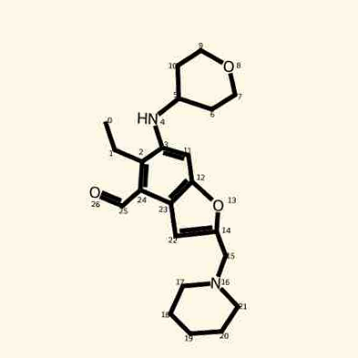 CCc1c(NC2CCOCC2)cc2oc(CN3CCCCC3)cc2c1C=O